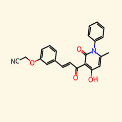 Cc1cc(O)c(C(=O)/C=C/c2cccc(OCC#N)c2)c(=O)n1-c1ccccc1